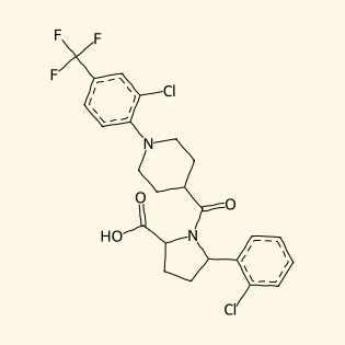 O=C(O)C1CCC(c2ccccc2Cl)N1C(=O)C1CCN(c2ccc(C(F)(F)F)cc2Cl)CC1